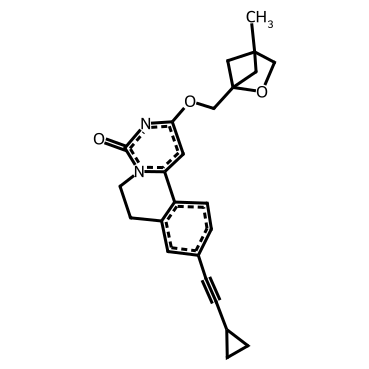 CC12COC(COc3cc4n(c(=O)n3)CCc3cc(C#CC5CC5)ccc3-4)(C1)C2